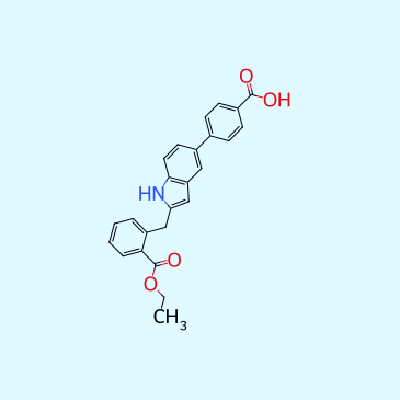 CCOC(=O)c1ccccc1Cc1cc2cc(-c3ccc(C(=O)O)cc3)ccc2[nH]1